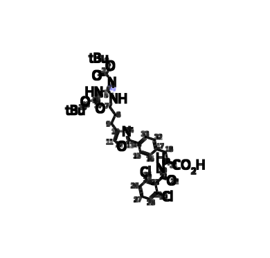 CC(C)(C)OC(=O)/N=C(/NCCCc1coc(-c2ccc(C[C@H](NC(=O)c3c(Cl)cccc3Cl)C(=O)O)cc2)n1)NC(=O)OC(C)(C)C